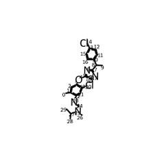 Cc1cc(Oc2nc(C(C)c3ccc(Cl)cc3)ns2)c(Cl)cc1N=CN(C)C(C)C